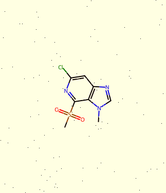 Cn1cnc2cc(Cl)nc(S(C)(=O)=O)c21